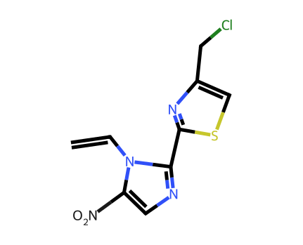 C=Cn1c([N+](=O)[O-])cnc1-c1nc(CCl)cs1